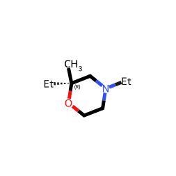 CCN1CCO[C@](C)(CC)C1